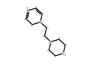 C1=CN(CCN2CCOCC2)CC=N1